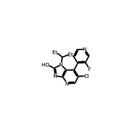 CCC(CC)n1c(O)nc2ncc(Cl)c(-c3ccncc3F)c21